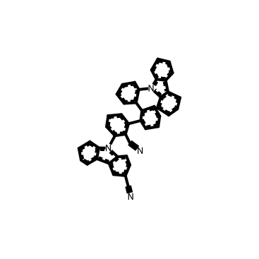 N#Cc1ccc2c(c1)c1ccccc1n2-c1cccc(-c2ccccc2-c2ccccc2-n2c3ccccc3c3ccccc32)c1C#N